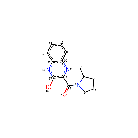 CC1CCCN1C(=O)c1nc2ccccc2nc1O